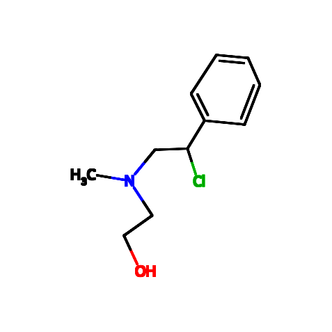 CN(CCO)CC(Cl)c1ccccc1